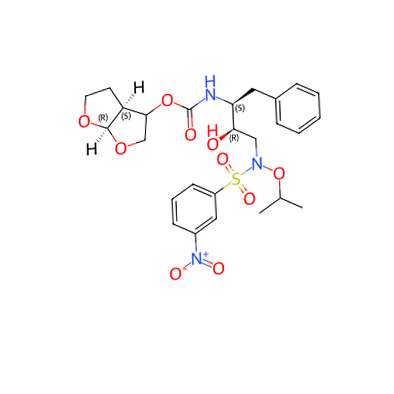 CC(C)ON(C[C@@H](O)[C@H](Cc1ccccc1)NC(=O)OC1CO[C@H]2OCC[C@@H]12)S(=O)(=O)c1cccc([N+](=O)[O-])c1